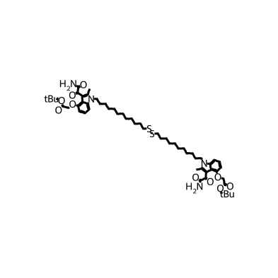 Cc1c(C(=O)C(N)=O)c2c(OCC(=O)OC(C)(C)C)cccc2n1CCCCCCCCCCCCSSCCCCCCCCCCCn1c(C)c(C(=O)C(N)=O)c2c(OCC(=O)OC(C)(C)C)cccc21